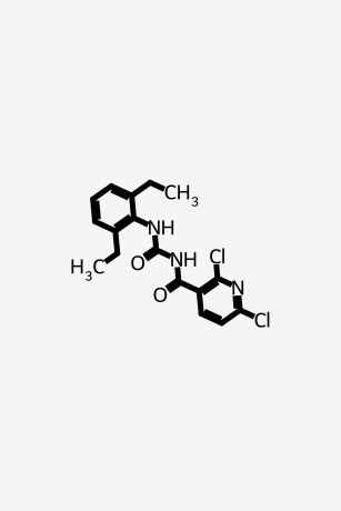 CCc1cccc(CC)c1NC(=O)NC(=O)c1ccc(Cl)nc1Cl